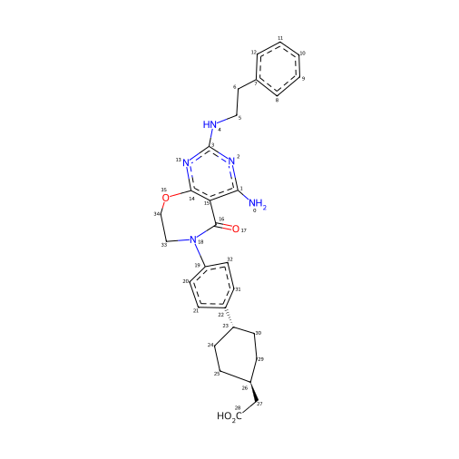 Nc1nc(NCCc2ccccc2)nc2c1C(=O)N(c1ccc([C@H]3CC[C@H](CC(=O)O)CC3)cc1)CCO2